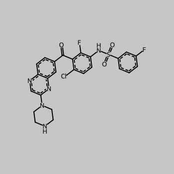 O=C(c1ccc2ncc(N3CCNCC3)nc2c1)c1c(Cl)ccc(NS(=O)(=O)c2cccc(F)c2)c1F